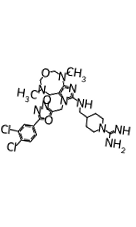 CN1COCN(C)c2nc(NCC3CCN(C(=N)N)CC3)n(Cc3nnc(-c4ccc(Cl)c(Cl)c4)o3)c2C1=O